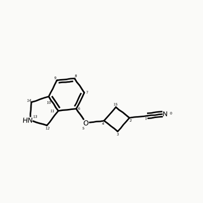 N#CC1CC(Oc2cccc3c2CNC3)C1